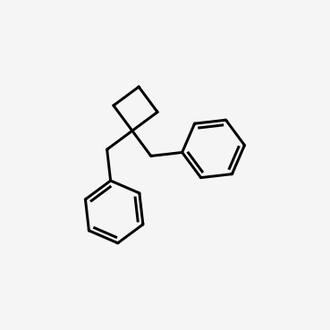 c1ccc(CC2(Cc3ccccc3)CCC2)cc1